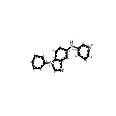 c1ccc(-n2cnc3cc(Nc4cccnc4)ccc32)cc1